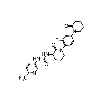 O=C(Nc1ccc(C(F)(F)F)nc1)NC1CCCN(c2ccc(N3CCCCC3=O)cc2F)C1=O